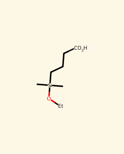 CCO[Si](C)(C)CCCC(=O)O